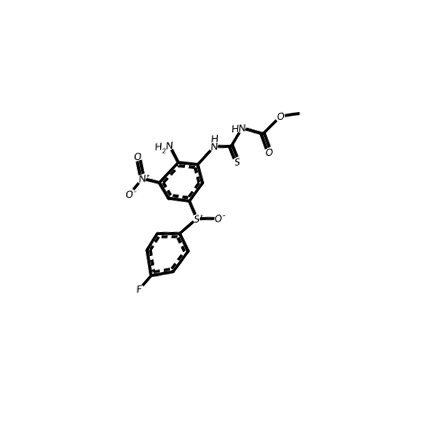 COC(=O)NC(=S)Nc1cc([S+]([O-])c2ccc(F)cc2)cc([N+](=O)[O-])c1N